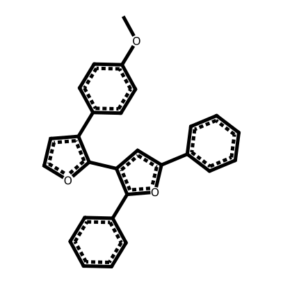 COc1ccc(-c2ccoc2-c2cc(-c3ccccc3)oc2-c2ccccc2)cc1